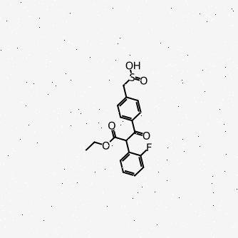 CCOC(=O)C(C(=O)c1ccc(CS(=O)O)cc1)c1ccccc1F